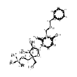 CC(C)[Si](OC[C@]1(CO)O[C@@H](n2ccc(=O)n(COCc3ccccc3)c2=O)[C@H](O)[C@@H]1O)(C(C)C)C(C)C